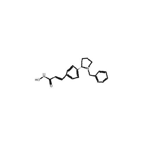 O=C(/C=C/c1ccc([C@@H]2CCCN2Cc2ccccc2)cc1)NO